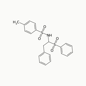 Cc1ccc(S(=O)(=O)NC(Cc2ccccc2)S(=O)(=O)c2ccccc2)cc1